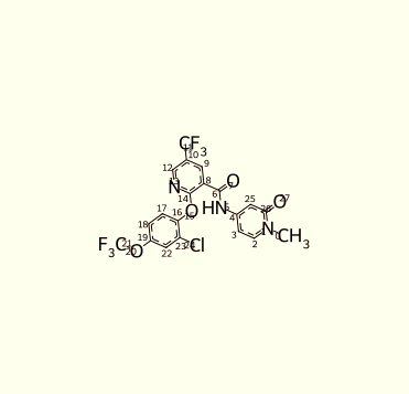 Cn1ccc(NC(=O)c2cc(C(F)(F)F)cnc2Oc2ccc(OC(F)(F)F)cc2Cl)cc1=O